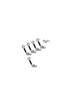 CC(C)(C)[O-].CC(C)(C)[O-].CC(C)(C)[O-].CC(C)(C)[O-].CC(C)(C)[O-].[Ta+5]